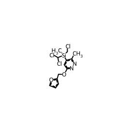 Cc1nnc(OCc2ccco2)cc1[Si](C)(CCl)C(Cl)Cl